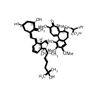 C=C1/C(=C\C=C2/CCC[C@]3(C)[C@@H]([C@H](C)CCCC(C)(C)O)CC[C@@H]23)C[C@@H](O)C[C@@H]1O.CCCC(CCC)C(=O)O.COc1cc2c(c(OC)c1OC)-c1ccc(OC)c(=O)cc1[C@@H](NC(C)=O)CC2